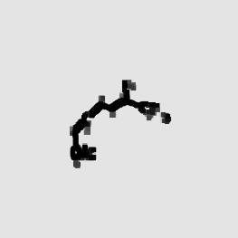 CC(=O)OC=C=CC=C(F)C(F)(F)F